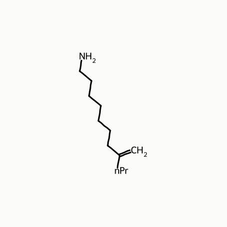 C=C(CCC)CCCCCCCN